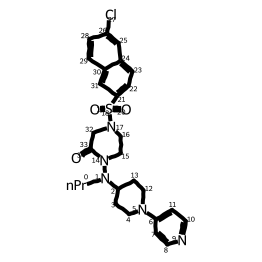 CCCN(C1CCN(c2ccncc2)CC1)N1CCN(S(=O)(=O)c2ccc3cc(Cl)ccc3c2)CC1=O